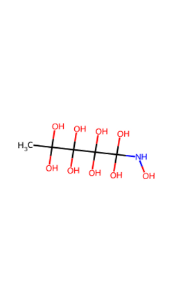 CC(O)(O)C(O)(O)C(O)(O)C(O)(O)NO